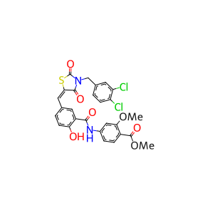 COC(=O)c1ccc(NC(=O)c2cc(C=C3SC(=O)N(Cc4ccc(Cl)c(Cl)c4)C3=O)ccc2O)cc1OC